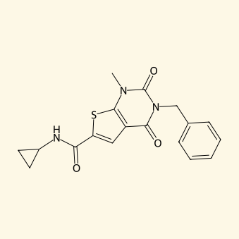 Cn1c(=O)n(Cc2ccccc2)c(=O)c2cc(C(=O)NC3CC3)sc21